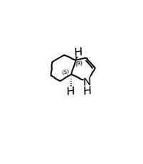 C1=C[C@H]2CCCC[C@@H]2N1